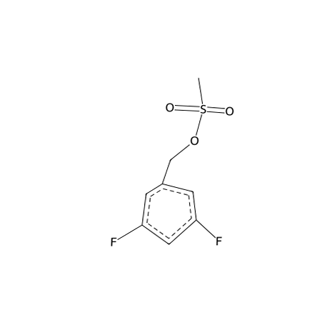 CS(=O)(=O)OCc1cc(F)cc(F)c1